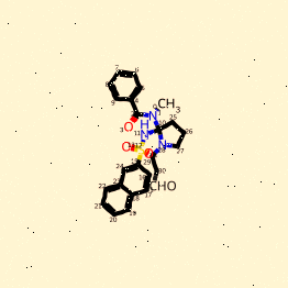 CN(C(=O)c1ccccc1)C1(NS(=O)(=O)c2ccc3ccccc3c2)CCCN1CCC=O